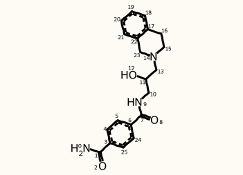 NC(=O)c1ccc(C(=O)NCC(O)CN2CCc3ccccc3C2)cc1